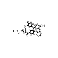 CC(O)C(CC1CCCCC1)N(Cc1ccc(C(=O)NCCC(=O)O)cc1)C(=O)Nc1ccc(Cl)c(C(F)(F)F)c1